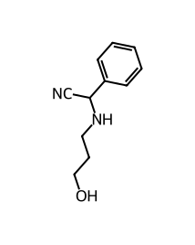 N#CC(NCCCO)c1ccccc1